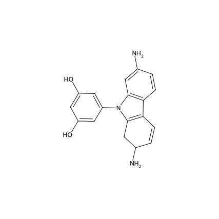 Nc1ccc2c3c(n(-c4cc(O)cc(O)c4)c2c1)CC(N)C=C3